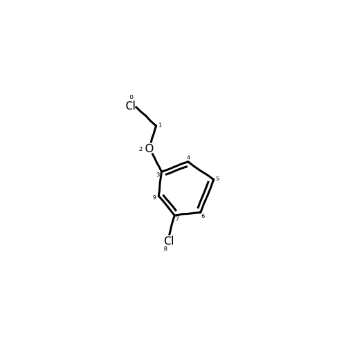 ClCOc1cccc(Cl)c1